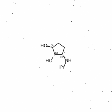 CC(C)N[C@@H]1CC[C@H](O)[C@H]1O